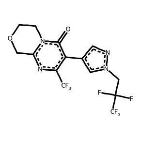 O=c1c(-c2cnn(CC(F)(F)C(F)(F)F)c2)c(C(F)(F)F)nc2n1CCOC2